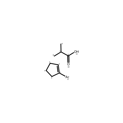 CC(=O)C1=CCCC1.CC(C)C(=O)O